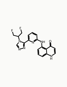 O=c1cc[nH]c2cccc(Nc3cccc(-c4nncn4C(CF)CF)n3)c12